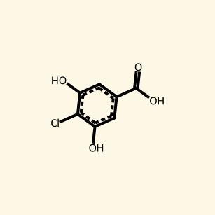 O=C(O)c1cc(O)c(Cl)c(O)c1